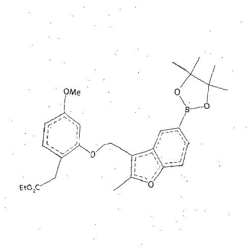 CCOC(=O)Cc1ccc(OC)cc1OCc1c(C)oc2ccc(B3OC(C)(C)C(C)(C)O3)cc12